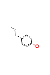 CC=Cc1ccc([O])cc1